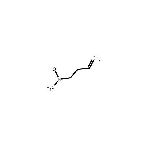 C=CCCN(C)O